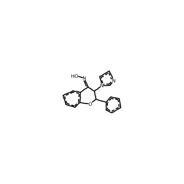 O/N=C1\c2ccccc2OC(c2ccccc2)C1n1ccnc1